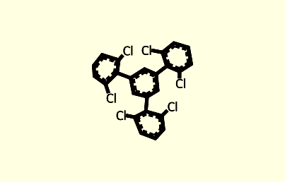 Clc1cccc(Cl)c1-c1cc(-c2c(Cl)cccc2Cl)cc(-c2c(Cl)cccc2Cl)c1